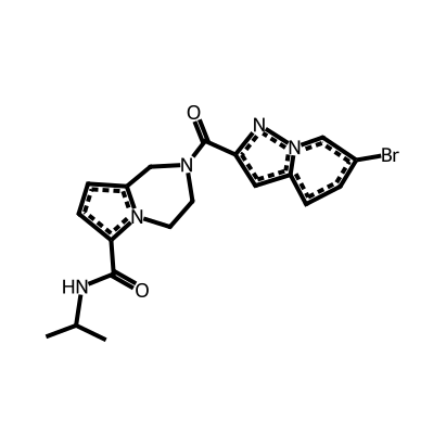 CC(C)NC(=O)c1ccc2n1CCN(C(=O)c1cc3ccc(Br)cn3n1)C2